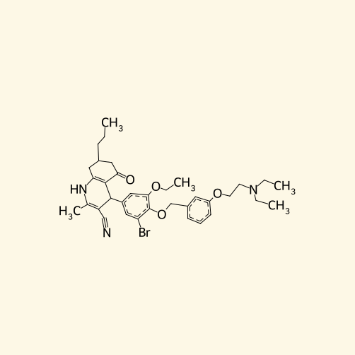 CCCC1CC(=O)C2=C(C1)NC(C)=C(C#N)C2c1cc(Br)c(OCc2cccc(OCCN(CC)CC)c2)c(OCC)c1